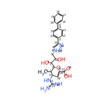 C[C@H]1C(C(O)C(O)Cn2cc(-c3ccc(-c4ccccc4)cc3)nn2)OC(C(=O)O)=C[C@H]1NC(=N)N